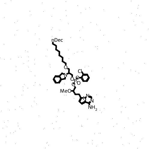 CCCCCCCCCCCCCCCCCCOCC(COP(=O)(OCC(CCc1ccc2c(N)ncnn12)OC)Oc1ccccc1Cl)N1Cc2ccccc2C1